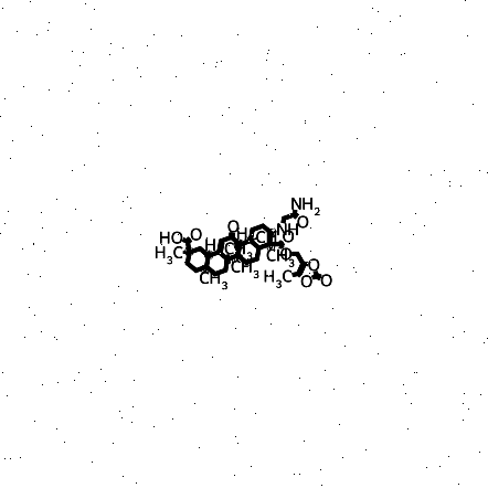 Cc1oc(=O)oc1COC(=O)[C@@]1(C)C2CC[C@]3(C)[C@H](C(=O)C=C4[C@@H]5C[C@@](C)(C(=O)O)CC[C@]5(C)CC[C@]43C)[C@@]2(C)CC[C@@H]1NCC(N)=O